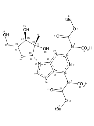 CC(C)(C)OC(=O)N(C(=O)O)c1nc(N(C(=O)O)C(=O)OC(C)(C)C)c2ncn([C@@H]3O[C@H](CO)[C@@H](O)[C@]3(C)O)c2n1